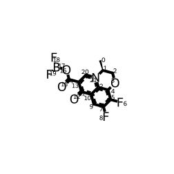 C[C@H]1COc2c(F)c(F)cc3c(=O)c(C(=O)OB(F)F)cn1c23